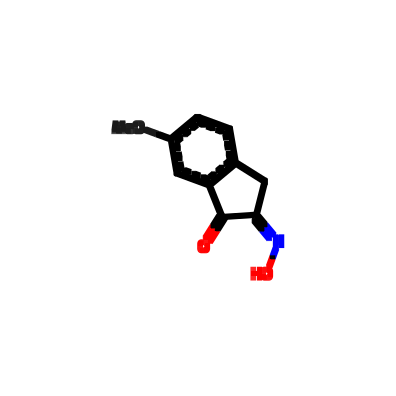 COc1ccc2c(c1)C(=O)/C(=N\O)C2